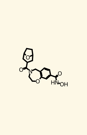 O=C(NO)c1ccc2c(c1)OCCN(C(=O)C1CC3CCC(C1)O3)C2